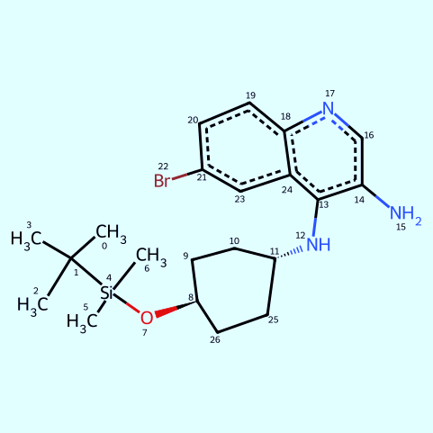 CC(C)(C)[Si](C)(C)O[C@H]1CC[C@H](Nc2c(N)cnc3ccc(Br)cc23)CC1